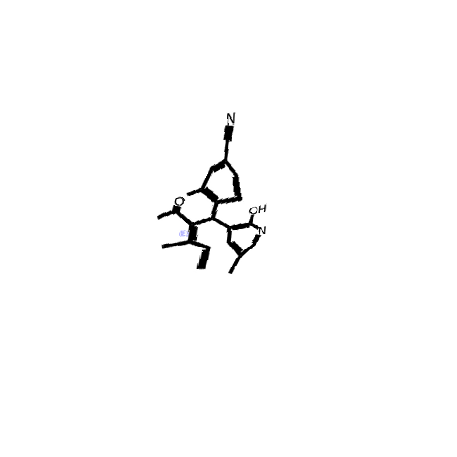 C=C/C(C)=C(/C(C)=O)C(c1ccc(C#N)cc1C)c1cc(C)cnc1O